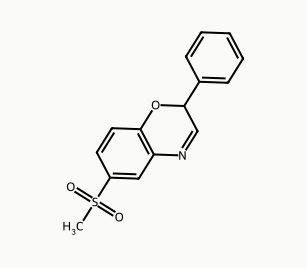 CS(=O)(=O)c1ccc2c(c1)N=CC(c1ccccc1)O2